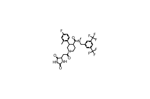 Cc1cc(F)ccc1C1CN(C(=O)CC2NC(=O)NC2=O)CCC1C(=O)N(C)Cc1cc(C(F)(F)F)cc(C(F)(F)F)c1